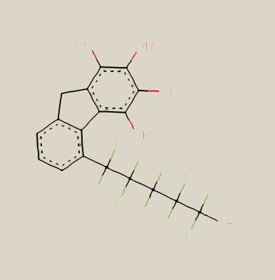 Oc1c(O)c(O)c2c(c1O)Cc1cccc(C(F)(F)C(F)(F)C(F)(F)C(F)(F)C(F)(F)C(F)(F)F)c1-2